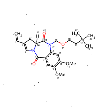 C=CC1=CN2C(=O)c3cc(OC)c(OC)cc3N(COCC[Si](C)(C)C)C(=O)[C@@H]2C1